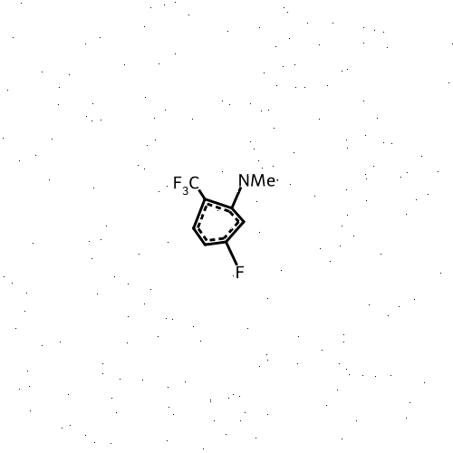 C[N]c1cc(F)ccc1C(F)(F)F